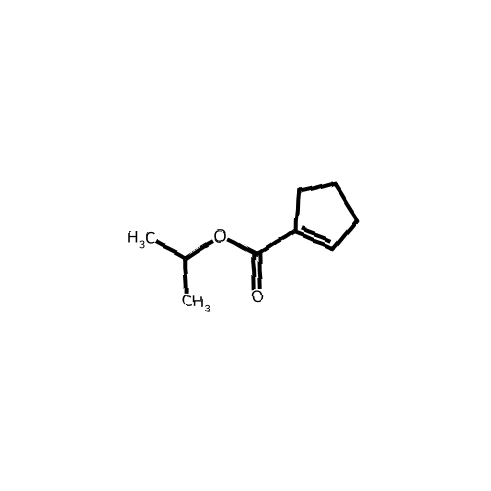 CC(C)OC(=O)C1=CCCC1